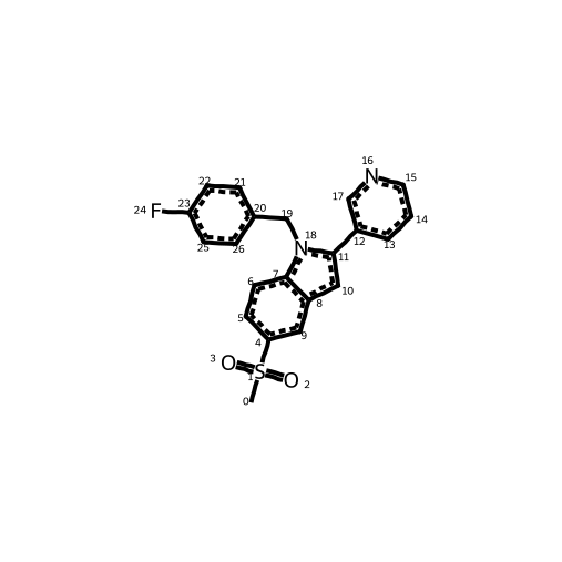 CS(=O)(=O)c1ccc2c(c1)cc(-c1cccnc1)n2Cc1ccc(F)cc1